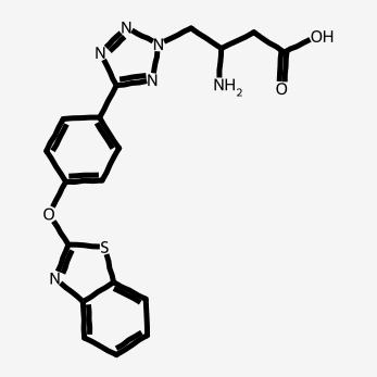 NC(CC(=O)O)Cn1nnc(-c2ccc(Oc3nc4ccccc4s3)cc2)n1